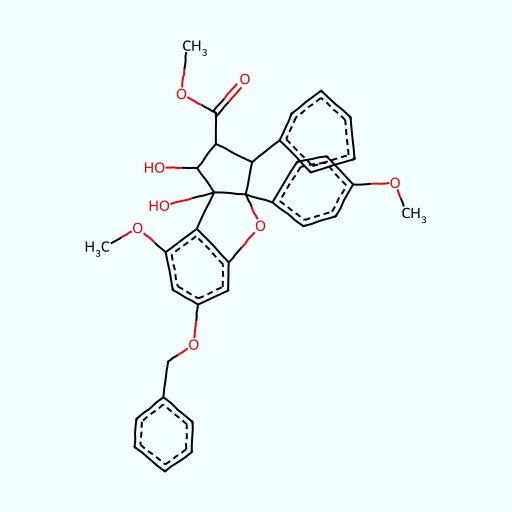 COC(=O)C1C(O)C2(O)c3c(OC)cc(OCc4ccccc4)cc3OC2(c2ccc(OC)cc2)C1c1ccccc1